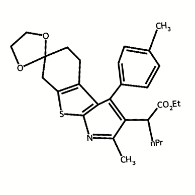 CCCC(C(=O)OCC)c1c(C)nc2sc3c(c2c1-c1ccc(C)cc1)CCC1(C3)OCCO1